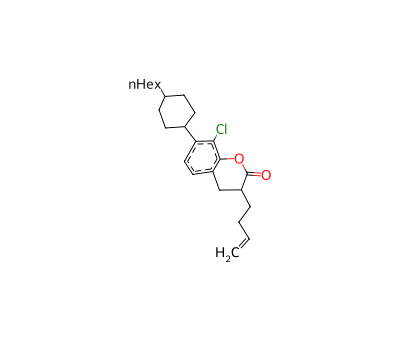 C=CCCC1Cc2ccc(C3CCC(CCCCCC)CC3)c(Cl)c2OC1=O